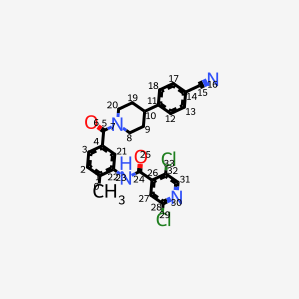 Cc1ccc(C(=O)N2CCC(c3ccc(C#N)cc3)CC2)cc1NC(=O)c1cc(Cl)ncc1Cl